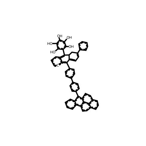 Oc1c(O)c(O)c(C2=c3ccccc3=C(c3ccc(-c4ccc(-c5c6ccccc6c6ccc7cccc8ccc5c6c87)cc4)cc3)C3=CC=C(c4ccccc4)CC32)c(O)c1O